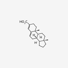 C[C@@]12CCC[C@H]1[C@@H]1CC=C3C=C(C(=O)O)CC[C@]3(C)[C@H]1CC2